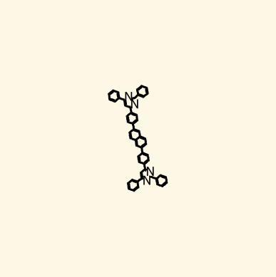 c1ccc(-c2cc(-c3ccc(-c4ccc5cc(-c6ccc(-c7cc(-c8ccccc8)nc(-c8ccccc8)n7)cc6)ccc5c4)cc3)nc(-c3ccccc3)n2)cc1